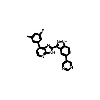 Cc1cc(F)cc(-c2ccnc3[nH]c(-c4n[nH]c5ccc(-c6cncnc6)cc45)nc23)c1